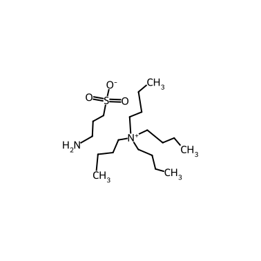 CCCC[N+](CCCC)(CCCC)CCCC.NCCCS(=O)(=O)[O-]